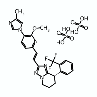 COc1nc(C=Cc2nc3n(n2)CCC[C@H]3c2ccccc2C(F)(F)F)ccc1-n1cnc(C)c1.O=S(=O)(O)O.O=S(=O)(O)O